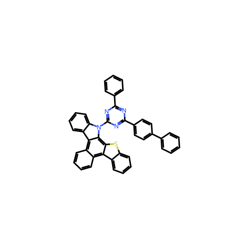 c1ccc(-c2ccc(-c3nc(-c4ccccc4)nc(-n4c5ccccc5c5c6ccccc6c6c7ccccc7sc6c54)n3)cc2)cc1